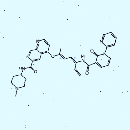 C=C/C(=C\C=C(/C)Oc1ccnc2cnc(C(=O)NC3CCN(C)CC3)cc12)NC(=O)c1cccn(-c2ccccn2)c1=O